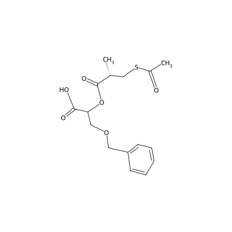 CC(=O)SC[C@@H](C)C(=O)OC(COCc1ccccc1)C(=O)O